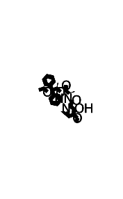 CCOC(c1ccccc1)(c1ccccc1)[C@H](C)OC(=O)[C@H](C)NC(=O)c1nccc(OC)c1O